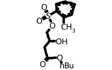 CCCCOC(=O)CC(O)COS(=O)(=O)c1ccccc1C